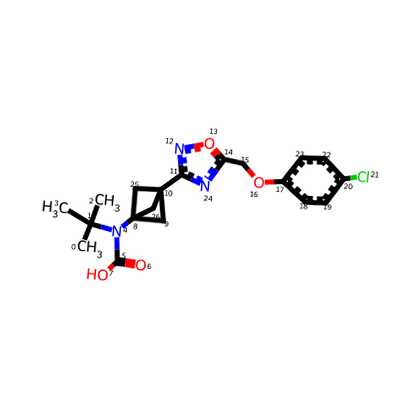 CC(C)(C)N(C(=O)O)C12CC(c3noc(COc4ccc(Cl)cc4)n3)(C1)C2